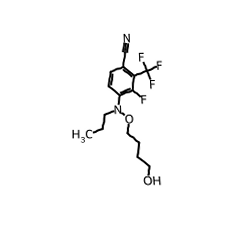 CCCN(OCCCCO)c1ccc(C#N)c(C(F)(F)F)c1F